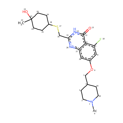 CC(=O)N1CCC(COc2cc(F)c3c(=O)[nH]c(CSC4CCC(C)(O)CC4)nc3c2)CC1